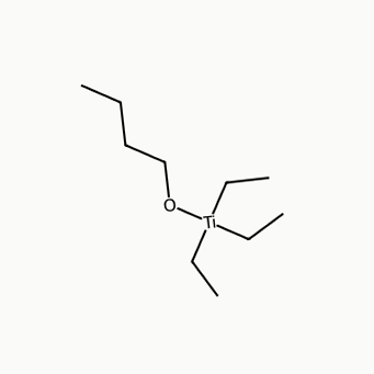 CCCC[O][Ti]([CH2]C)([CH2]C)[CH2]C